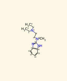 CCN(CC)CCN(C)c1nc2[c]cccc2[nH]1